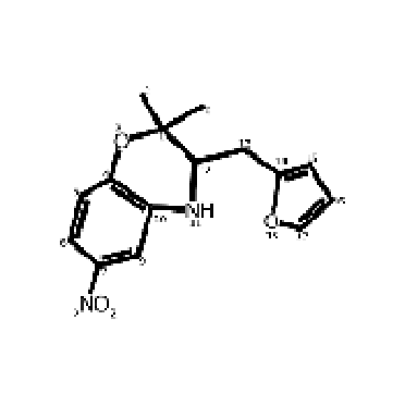 CC1(C)Oc2ccc([N+](=O)[O-])cc2NC1Cc1ccco1